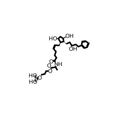 CC(NC(=O)CCC/C=C\C[C@@H]1[C@@H](CC[C@@H](O)CCc2ccccc2)[C@H](O)C[C@@H]1O)C(=O)OCCCON(O)O